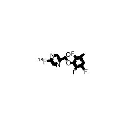 Cc1cc(F)c(F)c(OC(=O)c2cnc([18F])cn2)c1F